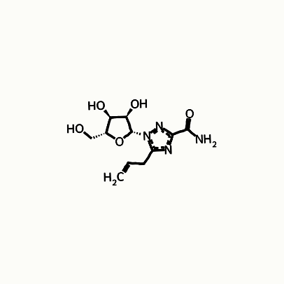 C=CCc1nc(C(N)=O)nn1[C@@H]1O[C@H](CO)[C@@H](O)[C@H]1O